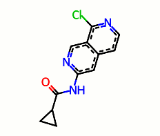 O=C(Nc1cc2ccnc(Cl)c2cn1)C1CC1